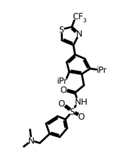 CC(C)c1cc(-c2csc(C(F)(F)F)n2)cc(C(C)C)c1CC(=O)NS(=O)(=O)c1ccc(CN(C)C)cc1